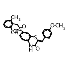 COc1ccc(C=C2Sc3cc(S(=O)(=O)Cc4c(C)cccc4C)ccc3NC2=O)cc1